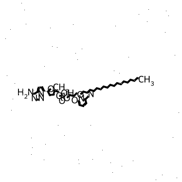 CCCCCCCCCCCCCCCCCCOCC(COP(=O)(O)OC[C@]1(C)CC[C@H](c2ccc3c(N)ncnn23)O1)Oc1cccc(C#N)n1